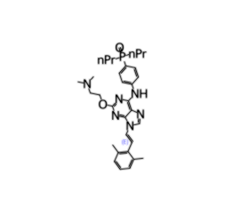 CCCP(=O)(CCC)c1ccc(Nc2nc(OCCN(C)C)nc3c2ncn3/C=C/c2c(C)cccc2C)cc1